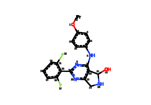 CC(C)Oc1ccc(Nc2nc(-c3c(F)cccc3F)nc3c2C(O)NC3)cc1